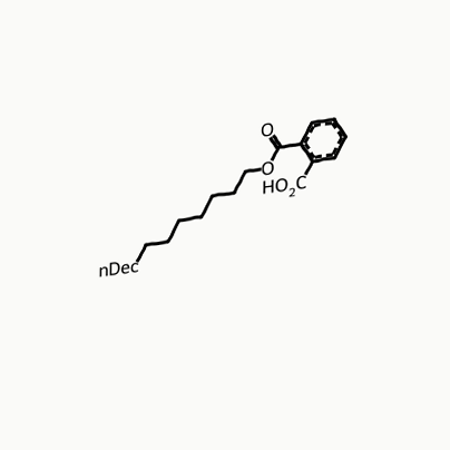 CCCCCCCCCCCCCCCCCOC(=O)c1ccccc1C(=O)O